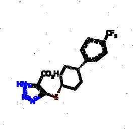 O=C(O)c1[nH]nnc1S[C@H]1CC[C@@H](c2ccc(C(F)(F)F)cc2)CC1